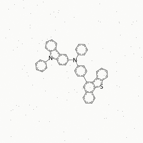 c1ccc(N(c2ccc(-c3cc4ccccc4c4sc5ccccc5c34)cc2)c2ccc3c(c2)c2ccccc2n3-c2ccccc2)cc1